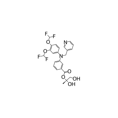 C[C@](O)(CO)OC(=O)c1cccc(N(Cc2cccnc2)c2ccc(OC(F)F)c(OC(F)F)c2)c1